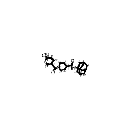 O=C(NC12CC3CC(CC(C3)C1)C2)C1CCN(C(=O)c2ccc(Cl)nc2)CC1